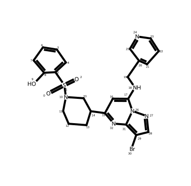 O=S(=O)(c1ccccc1O)N1CCCC(c2cc(NCc3cccnc3)n3ncc(Br)c3n2)C1